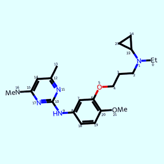 CCN(CCCOc1cc(Nc2nc(C)cc(NC)n2)ccc1OC)C1CC1